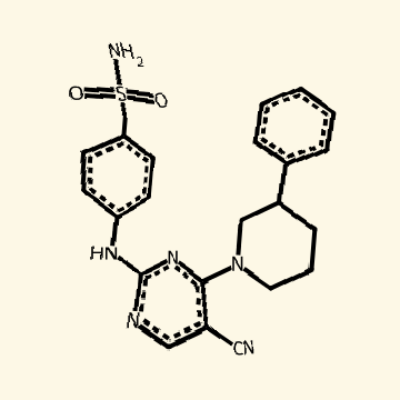 N#Cc1cnc(Nc2ccc(S(N)(=O)=O)cc2)nc1N1CCCC(c2ccccc2)C1